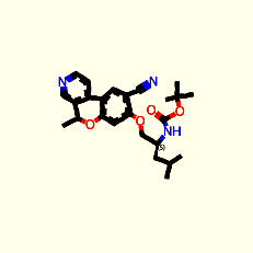 CC(C)C[C@@H](COc1cc2c(cc1C#N)-c1ccncc1C(C)O2)NC(=O)OC(C)(C)C